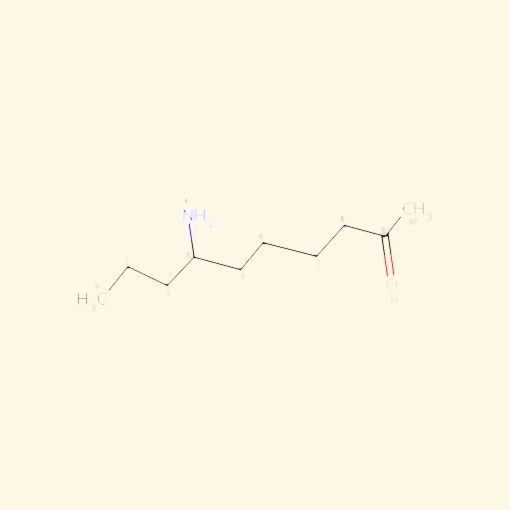 CCCC(N)CCCCC(C)=O